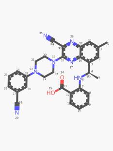 Cc1cc([C@@H](C)Nc2ccccc2C(=O)O)c2nc(N3CCN(c4cccc(C#N)c4)CC3)c(C#N)nc2c1